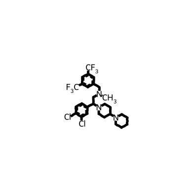 CN(Cc1cc(C(F)(F)F)cc(C(F)(F)F)c1)CC(c1ccc(Cl)c(Cl)c1)N1CCC(N2CCCCC2)CC1